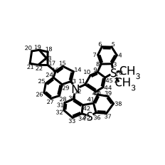 CS1(C)c2ccccc2-c2cc(N(c3ccc(C4CC5CCC4C5)c4ccccc34)c3cccc4sc5ccccc5c34)ccc21